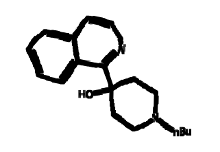 CCCCN1CCC(O)(c2nccc3ccccc23)CC1